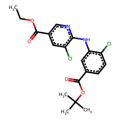 CCOC(=O)c1cnc(Nc2cc(C(=O)OC(C)(C)C)ccc2Cl)c(Cl)c1